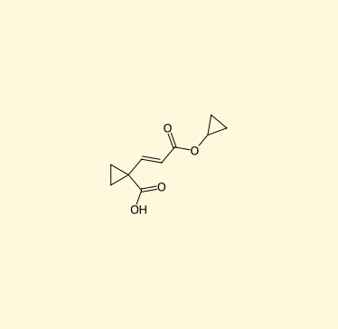 O=C(C=CC1(C(=O)O)CC1)OC1CC1